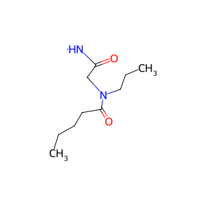 CCCCC(=O)N(CCC)CC([NH])=O